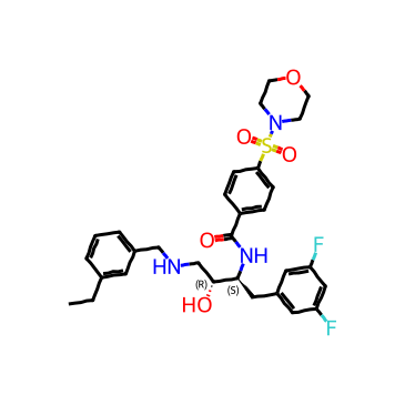 CCc1cccc(CNC[C@@H](O)[C@H](Cc2cc(F)cc(F)c2)NC(=O)c2ccc(S(=O)(=O)N3CCOCC3)cc2)c1